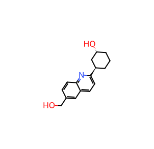 OCc1ccc2nc([C@@H]3CCC[C@@H](O)C3)ccc2c1